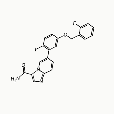 NC(=O)c1cnc2ccc(-c3cc(OCc4ccccc4F)ccc3I)cn12